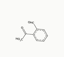 O=Cc1ccccc1C(=O)C(=O)O